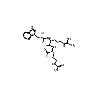 N=C(N)NCCC[C@H](NC(=O)[C@H](CCCNC(=N)N)NC(=O)[C@@H](N)Cc1c[nH]c2ccccc12)C(=O)O